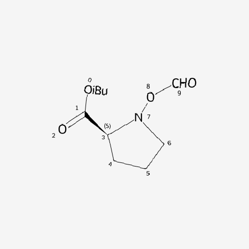 CC(C)COC(=O)[C@@H]1CCCN1OC=O